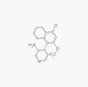 COc1cc(Cl)c2ccccc2c1-c1ccncc1N